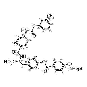 CCCCCCCOc1ccc(C(=O)Oc2ccc(C[C@H](NC(=O)c3ccc(NC(=O)Cc4cccc(C(F)(F)F)c4)cc3)C(=O)O)cc2)cc1